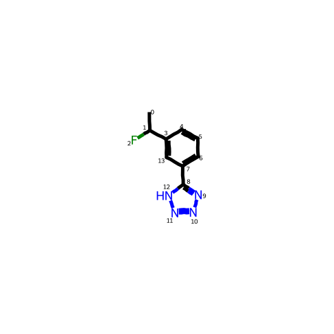 CC(F)c1[c]ccc(-c2nnn[nH]2)c1